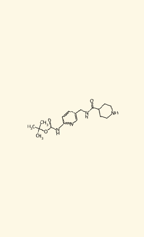 CC(C)(C)OC(=O)Nc1ccc(CNC(=O)C2CCNCC2)cn1